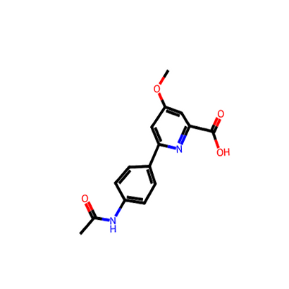 COc1cc(C(=O)O)nc(-c2ccc(NC(C)=O)cc2)c1